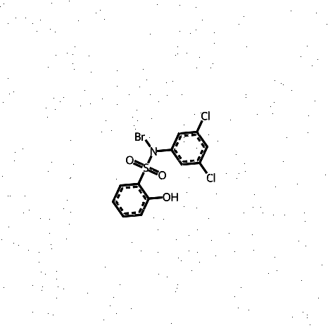 O=S(=O)(c1ccccc1O)N(Br)c1cc(Cl)cc(Cl)c1